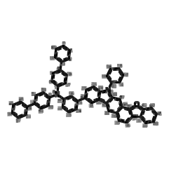 c1ccc(-c2ccc(N(c3ccc(-c4ccccc4)cc3)c3cccc(-c4ccc5c(c4)c4cc6ccc7c8ccccc8oc7c6cc4n5-c4ccccc4)c3)cc2)cc1